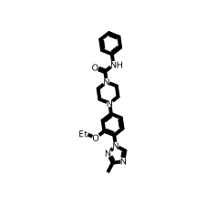 CCOc1cc(N2CCN(C(=O)Nc3ccccc3)CC2)ccc1-n1cnc(C)n1